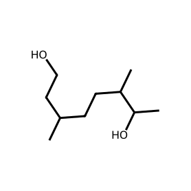 CC(CCO)CCC(C)C(C)O